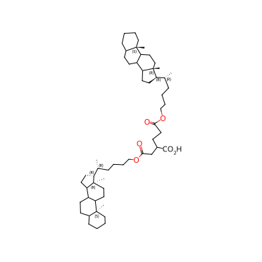 C[C@H](CCCCOC(=O)CCC(CC(=O)OCCCC[C@@H](C)[C@H]1CCC2C3CCC4CCCC[C@]4(C)C3CC[C@@]21C)C(=O)O)[C@H]1CCC2C3CCC4CCCC[C@]4(C)C3CC[C@@]21C